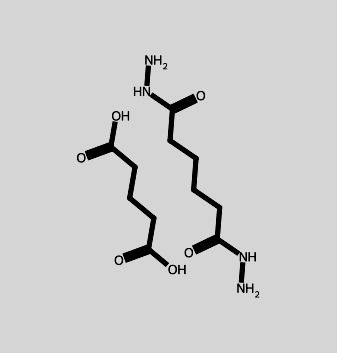 NNC(=O)CCCCC(=O)NN.O=C(O)CCCC(=O)O